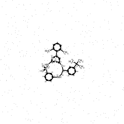 Cc1cccc(C)c1-c1cc2nc(n1)NS(=O)(=O)c1cccc(c1)NCC(c1cccc(C(C)(C)C)c1)O2